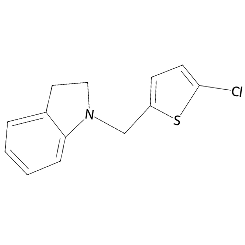 Clc1ccc(CN2CCc3ccccc32)s1